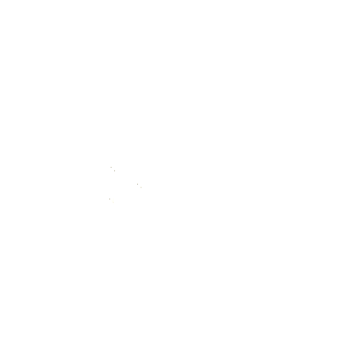 c1ccc(-c2nc(-c3ccccc3)nc(-c3cccc4c3-c3ccccc3C43c4ccccc4-c4cc5c(cc43)oc3ccccc35)n2)cc1